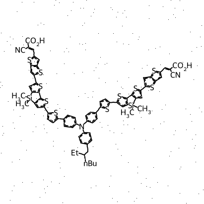 CCCCC(CC)Cc1ccc(N(c2ccc(-c3ccc(-c4cc5c(s4)-c4sc(-c6cc7sc(/C=C(\C#N)C(=O)O)cc7s6)cc4[Si]5(C)C)s3)cc2)c2ccc(-c3ccc(-c4cc5c(s4)-c4sc(-c6cc7sc(/C=C(\C#N)C(=O)O)cc7s6)cc4[Si]5(C)C)s3)cc2)cc1